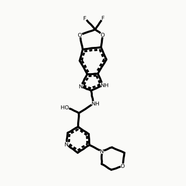 OC(Nc1nc2cc3c(cc2[nH]1)OC(F)(F)O3)c1cncc(N2CCOCC2)c1